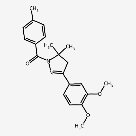 COc1ccc(C2=NN(C(=O)c3ccc(C)cc3)C(C)(C)C2)cc1OC